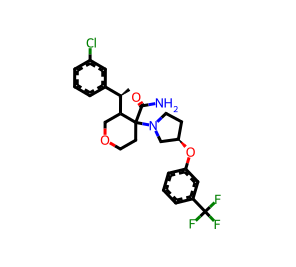 C[C@H](c1cccc(Cl)c1)C1COCCC1(C(N)=O)N1CC[C@@H](Oc2cccc(C(F)(F)F)c2)C1